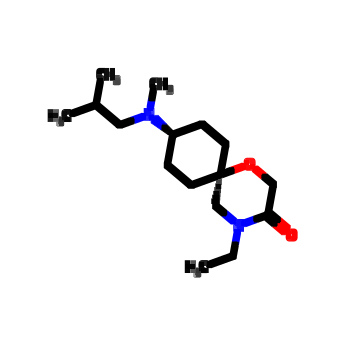 CCN1C[C@]2(CC[C@H](N(C)CC(C)C)CC2)OCC1=O